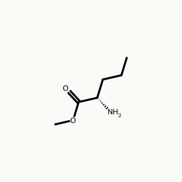 CCC[C@H](N)C(=O)OC